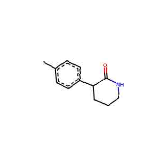 Cc1ccc(C2CCCNC2=O)cc1